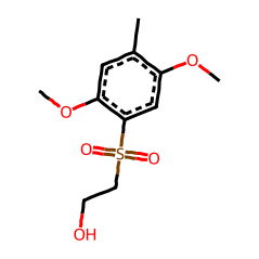 COc1cc(S(=O)(=O)CCO)c(OC)cc1C